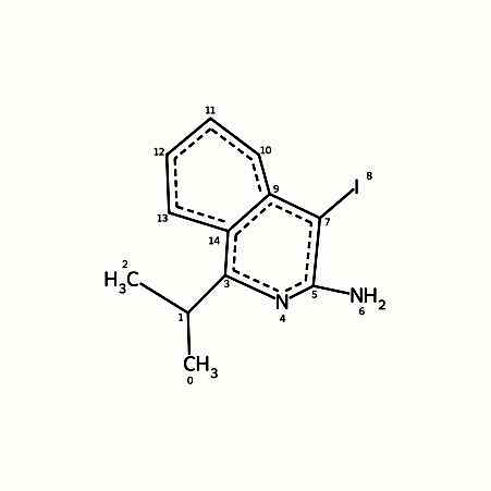 CC(C)c1nc(N)c(I)c2ccccc12